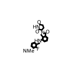 CNc1cccc(CNc2cccc3c2CN([C@@H]2CCC(=O)NC2=O)C3=O)c1F